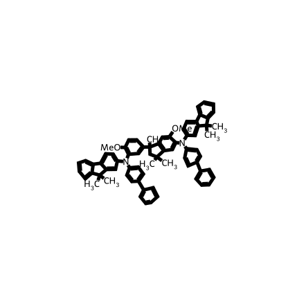 COc1ccc(C2(C)CC(C)(C)c3cc(N(c4ccc(-c5ccccc5)cc4)c4ccc5c(c4)C(C)(C)c4ccccc4-5)c(OC)cc32)cc1N(c1ccc(-c2ccccc2)cc1)c1ccc2c(c1)C(C)(C)c1ccccc1-2